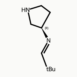 CC(C)(C)C=N[C@@H]1CCNC1